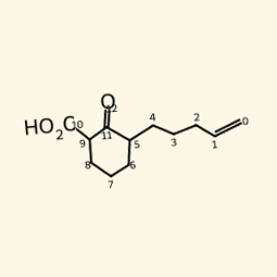 C=CCCCC1CCCC(C(=O)O)C1=O